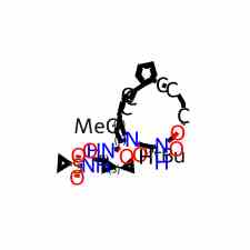 CO[C@@]12C[C@@H](C(=O)N[C@]3(C(=O)NS(=O)(=O)C4CC4)C[C@H]3C3CC3)N(C1)C(=O)[C@H](C(C)(C)C)NC(=O)OCCCCCCc1ccccc1-c1ccc2cc1